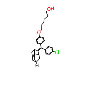 OCCCCCCOc1ccc(/C(=C2/C3C=C4CC2C[C@@H](C4)C3)c2ccc(Cl)cc2)cc1